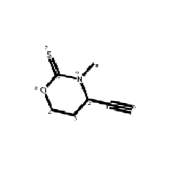 C#CC1CCOC(=S)N1C